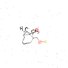 CC1(C)C2CCC1(C[O+]=S)C(=O)C2